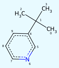 CC(C)(C)c1[c]nccc1